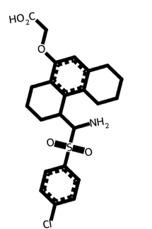 NC(C1CCCc2c(OCC(=O)O)cc3c(c21)CCCC3)S(=O)(=O)c1ccc(Cl)cc1